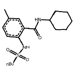 CCCCS(=O)(=O)Nc1ccc(C)cc1C(=O)NC1CCCCC1